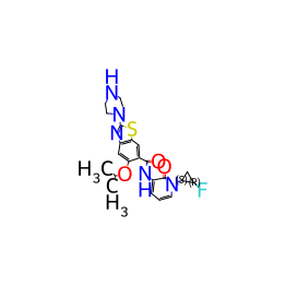 CC(C)Oc1cc2nc(N3CCNCC3)sc2cc1C(=O)Nc1cccn([C@H]2C[C@H]2F)c1=O